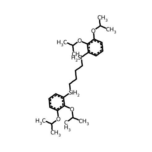 CC(C)Oc1cccc([SiH2]CCCC[SiH2]c2cccc(OC(C)C)c2OC(C)C)c1OC(C)C